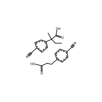 CCC(C)(C(=O)O)c1ccc(C#N)cc1.N#Cc1ccc(CCC(=O)O)cc1